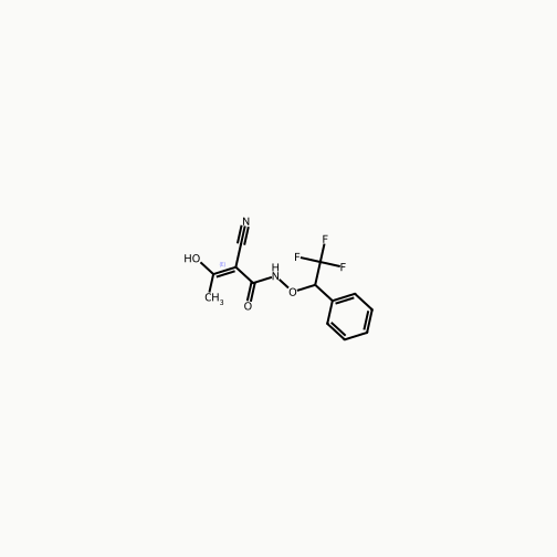 C/C(O)=C(/C#N)C(=O)NOC(c1ccccc1)C(F)(F)F